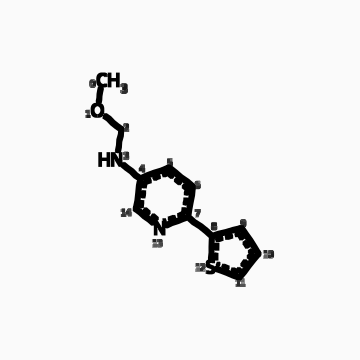 COCNc1ccc(-c2cccs2)nc1